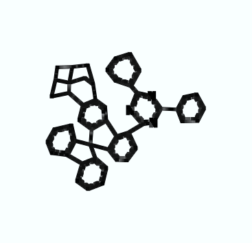 c1ccc(-c2nc(-c3ccccc3)nc(-c3cccc4c3-c3cc5c(cc3C43c4ccccc4-c4ccccc43)C3CC4CC6CC5CC643)n2)cc1